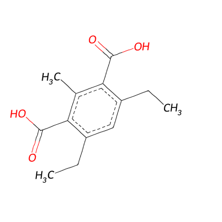 CCc1cc(CC)c(C(=O)O)c(C)c1C(=O)O